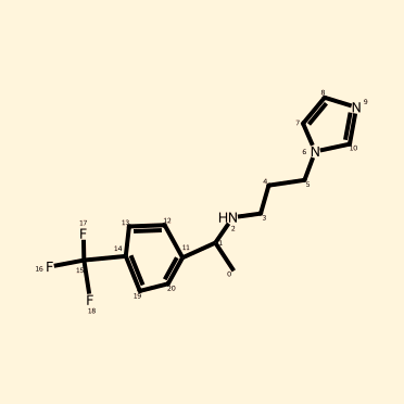 CC(NCCCn1ccnc1)c1ccc(C(F)(F)F)cc1